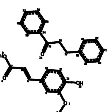 COc1cc(/C=C/C(=O)O)ccc1O.O=C(CCc1ccccc1)c1ccccc1